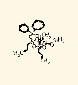 C=CC[Si](C)(O[Si](CC=C)(CC=C)O[SiH2]O[SiH3])O[Si](C)(c1ccccc1)c1ccccc1